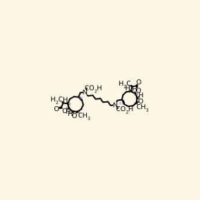 C=C1C(=O)O[C@H]2[C@H]1CC/C(CN(CCCCCCCN(C/C1=C/CC[C@@]3(C)O[C@H]3[C@H]3OC(=O)C(=C)[C@@H]3CC1)C(=O)O)C(=O)O)=C\CC[C@@]1(C)O[C@@H]21